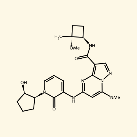 CNc1cc(Nc2cccn([C@H]3CCC[C@H]3O)c2=O)nc2c(C(=O)N[C@@H]3CC[C@@]3(C)OC)cnn12